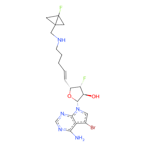 Nc1ncnc2c1c(Br)cn2[C@@H]1O[C@H](/C=C/CCCNCC23CC2(F)C3)[C@H](F)[C@H]1O